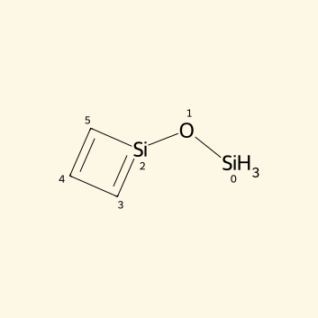 [SiH3]O[Si]1=CC=C1